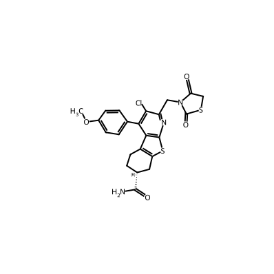 COc1ccc(-c2c(Cl)c(CN3C(=O)CSC3=O)nc3sc4c(c23)CC[C@@H](C(N)=O)C4)cc1